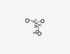 O=C(NC(Cc1ccccc1)C(=O)C(=O)Cc1c[nH]c2ccccc12)OCc1ccccc1